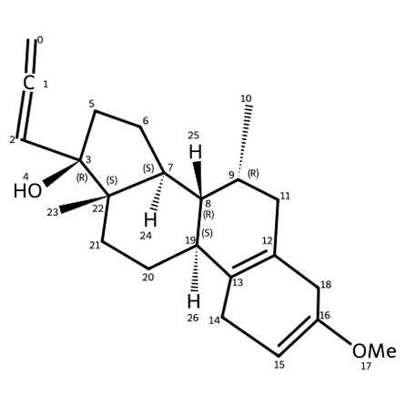 C=C=C[C@]1(O)CC[C@H]2[C@@H]3[C@H](C)CC4=C(CC=C(OC)C4)[C@H]3CC[C@@]21C